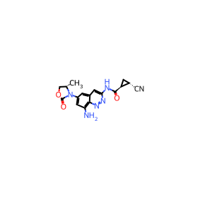 C[C@H]1COC(=O)N1c1cc(N)c2nnc(NC(=O)[C@H]3C[C@@H]3C#N)cc2c1